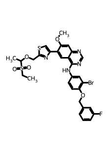 CCS(=O)(=O)C(C)OCc1nc(-c2cc3c(Nc4ccc(OCc5cccc(F)c5)c(Br)c4)ncnc3cc2OC)cs1